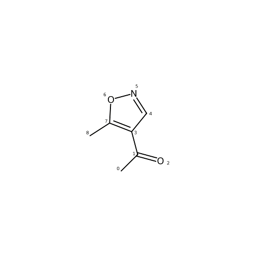 CC(=O)c1cnoc1C